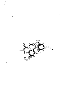 CCOC(=O)COC(=O)C(C)Oc1cc(Oc2c(Cl)cc(C(F)(F)F)cc2Cl)ccc1[N+](=O)[O-]